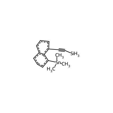 [CH3][Sn]([CH3])([CH3])[c]1cccc2cccc(C#C[SiH3])c12